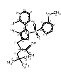 COc1ccnc(S(=O)(=O)n2cc(CN(CC(C)(C)C)C(=O)O)c(F)c2-c2cccnc2F)c1